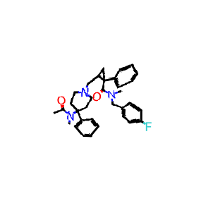 CC(=O)N(C)C1(c2ccccc2)CCN(CC2CC2(C(=O)N(C)Cc2ccc(F)cc2)c2ccccc2)CC1